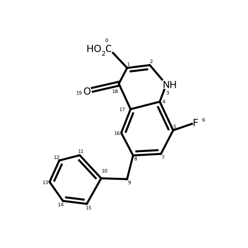 O=C(O)c1c[nH]c2c(F)cc(Cc3ccccc3)cc2c1=O